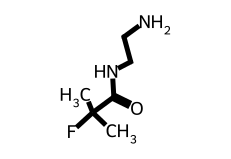 CC(C)(F)C(=O)NCCN